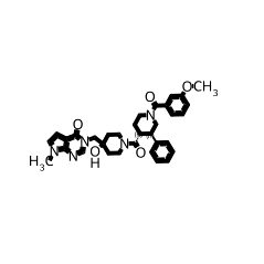 COc1cccc(C(=O)N2CC[C@@H](C(=O)N3CCC(O)(Cn4cnc5c(ccn5C)c4=O)CC3)[C@H](c3ccccc3)C2)c1